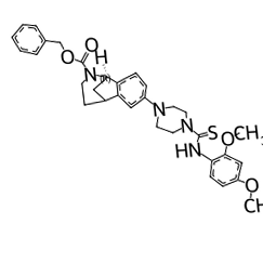 COc1ccc(NC(=S)N2CCN(c3ccc4c(c3)C3CCN(C(=O)OCc5ccccc5)[C@@H]4C3)CC2)c(OC)c1